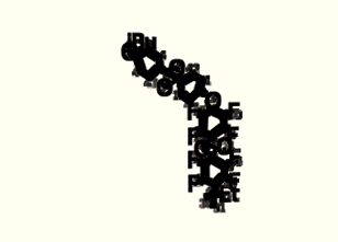 CCC(C)Oc1ccc(S(=O)(=O)c2ccc(Oc3c(F)c(F)c(S(=O)(=O)c4c(F)c(F)c(C(C)(C)CC)c(F)c4F)c(F)c3F)cc2)cc1